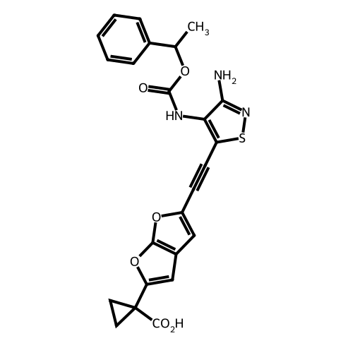 CC(OC(=O)Nc1c(N)nsc1C#Cc1cc2cc(C3(C(=O)O)CC3)oc2o1)c1ccccc1